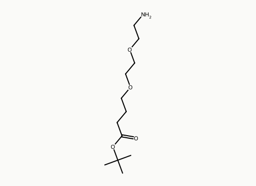 CC(C)(C)OC(=O)CCCOCCOCCN